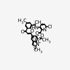 Cc1cc([C@@H](C)Nc2ccc(Cl)nc2C(=O)OC(C)(C)C)c2oc(-c3ccc4nn(C)cc4c3)cc(=O)c2c1